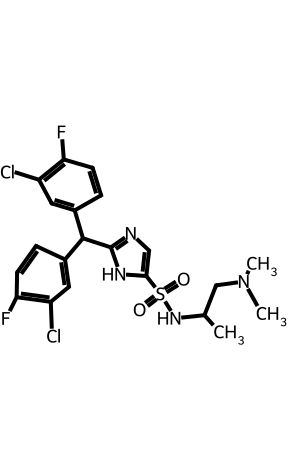 CC(CN(C)C)NS(=O)(=O)c1cnc(C(c2ccc(F)c(Cl)c2)c2ccc(F)c(Cl)c2)[nH]1